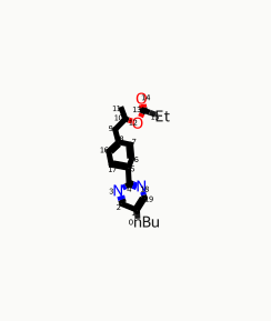 CCCCc1cnc(-c2ccc(CC(C)OC(=O)CC)cc2)nc1